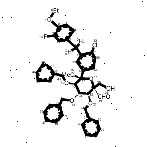 [2H]C([2H])(c1ccc(OCC)c(F)c1)c1cc([C@]2(OC)O[C@@](C=O)(CO)[C@@H](OCc3ccccc3)[C@H](OCc3ccccc3)[C@H]2OCc2ccccc2)ccc1Cl